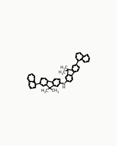 CC1(C)c2cc(Nc3ccc4c(c3)C(C)(C)c3cc(-c5cccc6ccccc56)ccc3-4)ccc2-c2ccc(-c3cccc4ccccc34)cc21